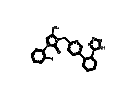 CCCCc1cn(-c2ccccc2I)c(=O)n1Cc1ccc(-c2ccccc2-c2nnn[nH]2)cn1